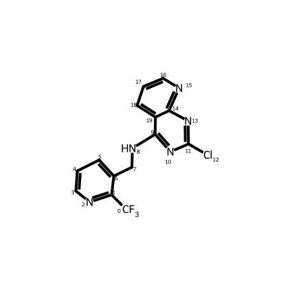 FC(F)(F)c1ncccc1CNc1nc(Cl)nc2ncccc12